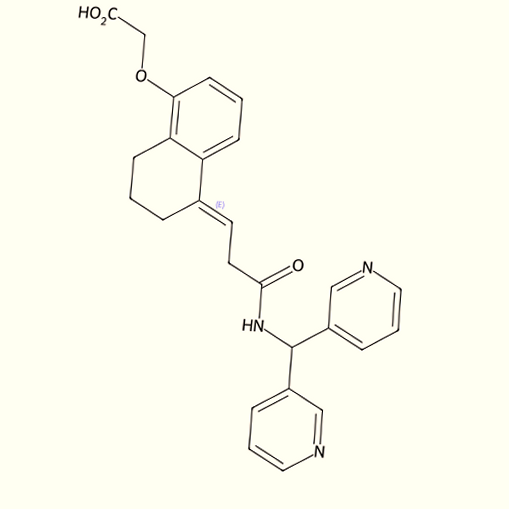 O=C(O)COc1cccc2c1CCC/C2=C\CC(=O)NC(c1cccnc1)c1cccnc1